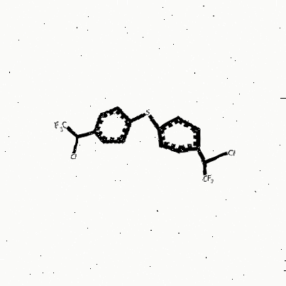 FC(F)(F)C(Cl)c1ccc(Sc2ccc(C(Cl)C(F)(F)F)cc2)cc1